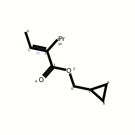 C/C=C(/C(=O)OCC1CC1)C(C)C